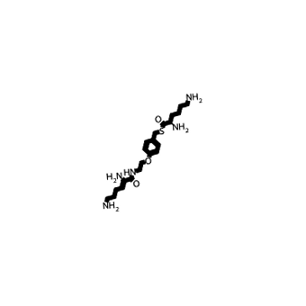 NCCC/C=C(\N)C(=O)NCCOc1ccc(CSC(=O)[C@@H](N)CCCCN)cc1